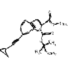 COC(=O)c1cc2ccc(C#CC3CC3)cc2n1C(=O)OC(C)(C)C